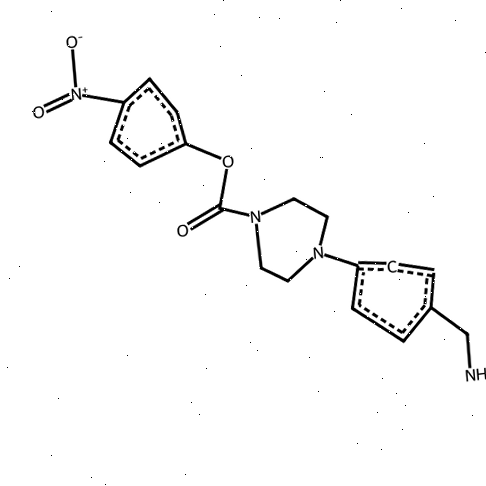 NCc1ccc(N2CCN(C(=O)Oc3ccc([N+](=O)[O-])cc3)CC2)cc1